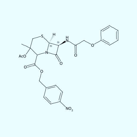 CC(=O)OC1(C)CS[C@H]2[C@@H](NC(=O)COc3ccccc3)C(=O)N2C1C(=O)OCc1ccc([N+](=O)[O-])cc1